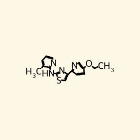 CCOc1ccc(-c2csc(Nc3ncccc3C)n2)nc1